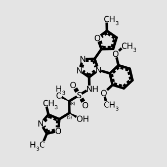 COc1cccc(OC)c1-n1c(NS(=O)(=O)[C@H](C)[C@@H](O)c2oc(C)nc2C)nnc1-c1ccc(C)o1